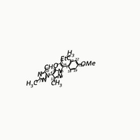 CCc1oc2c(-n3nc(C)nc3C)c(C)nn2c1-c1ccc(OC)cc1C